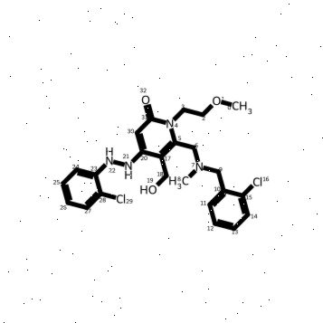 COCCn1c(CN(C)Cc2ccccc2Cl)c(CO)c(NNc2ccccc2Cl)cc1=O